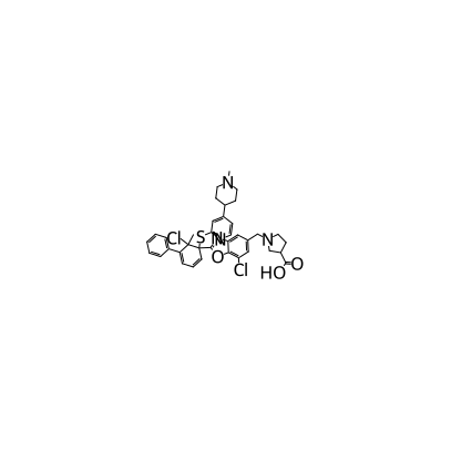 CN1CCC(c2ccnc(SC3(c4nc5cc(CN6CCC(C(=O)O)C6)cc(Cl)c5o4)C=CC=C(c4ccccc4)C3(C)Cl)c2)CC1